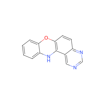 c1ccc2c(c1)Nc1c(ccc3ncncc13)O2